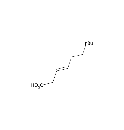 CCCCCCC=CCC(=O)O